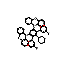 Fc1cccc(-c2c(N3c4ccccc4Oc4ccccc43)cc(N3c4ccccc4Oc4ccccc43)c(-c3cccc(F)c3)c2C2CCCCC2)c1